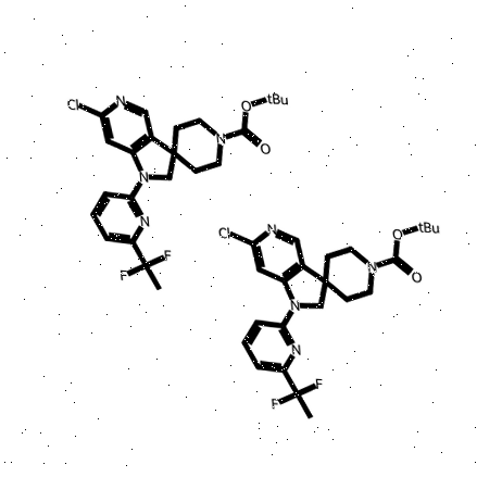 CC(C)(C)OC(=O)N1CCC2(CC1)CN(c1cccc(C(C)(F)F)n1)c1cc(Cl)ncc12.CC(C)(C)OC(=O)N1CCC2(CC1)CN(c1cccc(C(C)(F)F)n1)c1cc(Cl)ncc12